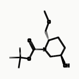 COC[C@@H]1CC[C@@H](O)CN1C(=O)OC(C)(C)C